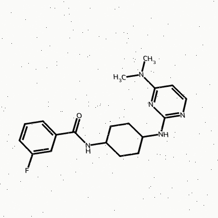 CN(C)c1ccnc(NC2CCC(NC(=O)c3cccc(F)c3)CC2)n1